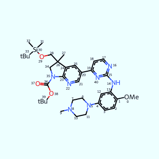 COc1ccc(N2CCN(C)CC2)cc1Nc1nccc(-c2cnc3c(c2)C(C)(CO[Si](C)(C)C(C)(C)C)CN3C(=O)OC(C)(C)C)n1